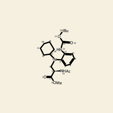 COC(=O)[C@@H](CN(c1ccccc1NC(=O)OC(C)(C)C)C1CCCCC1)NC(C)=O